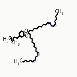 CCCCC/C=C\C/C=C\CCCCCCCCC1(CCCCCCCC/C=C\C/C=C\CCCCC)Oc2ccc(CCN(C)C)cc2O1